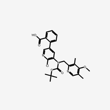 COc1c(C)cnc(CN(C(=O)OC(C)(C)C)c2cc(-c3ccccc3C(=O)O)cnc2Cl)c1C